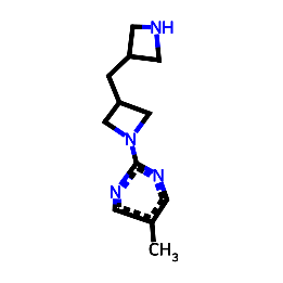 Cc1cnc(N2CC(CC3CNC3)C2)nc1